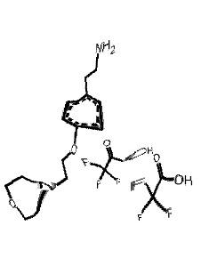 NCCc1ccc(OCCN2CCOCC2)cc1.O=C(O)C(F)(F)F.O=C(O)C(F)(F)F